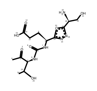 CC(=O)[C@@H](NC(=O)N[C@@H](CCC(=O)O)c1nnc([C@@H](N)CO)o1)C(C)O